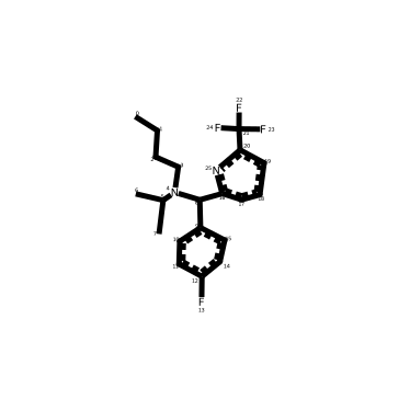 CCCCN(C(C)C)C(c1ccc(F)cc1)c1cccc(C(F)(F)F)n1